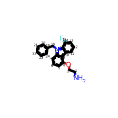 NCCOc1cccc2c1c1cccc(F)c1n2Cc1ccccc1